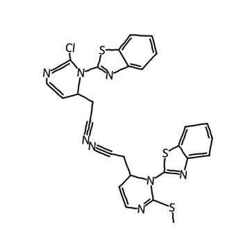 CSC1=NC=CC(CC#N)N1c1nc2ccccc2s1.N#CCC1C=CN=C(Cl)N1c1nc2ccccc2s1